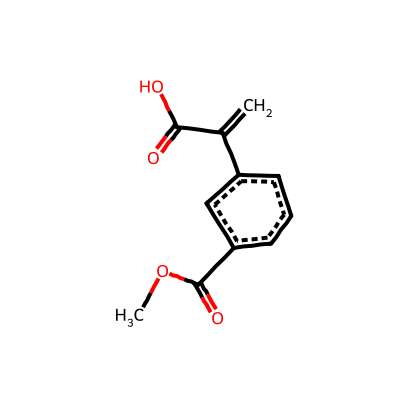 C=C(C(=O)O)c1cccc(C(=O)OC)c1